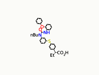 CCCCN(C(=O)Nc1ccccc1Oc1ccccc1)c1cccc(Sc2ccc(C(CC)C(=O)O)cc2)c1